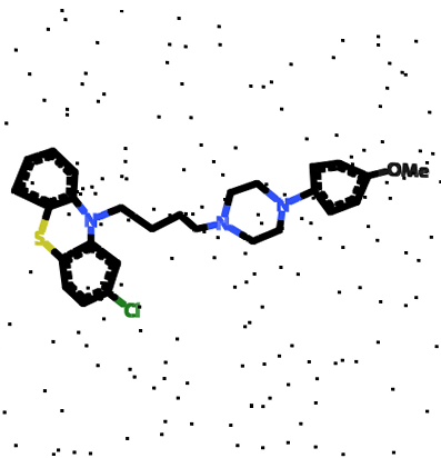 COc1ccc(N2CCN(CCCCN3c4ccccc4Sc4ccc(Cl)cc43)CC2)cc1